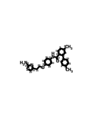 Cc1ccc(-c2cc(C)ccc2C(=O)Nc2ccc(OCCc3csc(N)n3)cc2)cc1